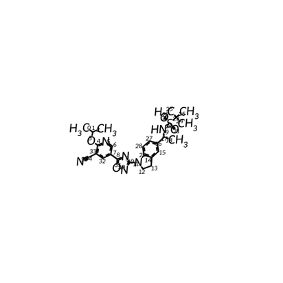 CC(C)Oc1ncc(-c2nc(N3CCc4cc([C@H](C)NS(=O)(=O)C(C)(C)C)ccc43)no2)cc1C#N